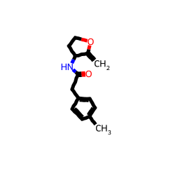 C=C1OCCC1NC(=O)Cc1ccc(C)cc1